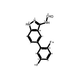 O=CNc1n[nH]c2ccc(-c3cc(F)ccc3F)cc12